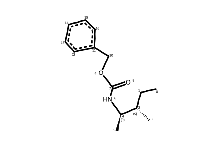 CC[C@H](C)[C@@H](C)NC(=O)OCc1ccccc1